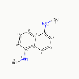 N#CNc1cccc2c(NC#N)cccc12